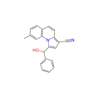 Cc1ccc2ccc3c(C#N)cc(C(O)c4ccccc4)n3c2c1